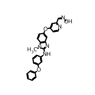 Cn1c(Nc2cccc(Oc3ccccc3)c2)nc2cc(Oc3ccnc(/C=N\O)c3)ccc21